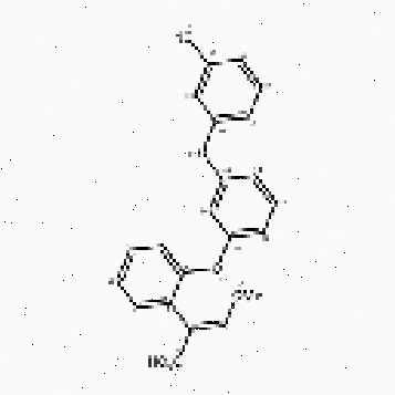 CO/C=C(/C(=O)O)c1ccccc1Oc1cccc(Oc2cccc(C#N)c2)c1